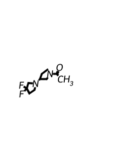 CC(=O)N1CCC(N2CCC(F)(F)C2)C1